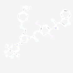 O=C(Nc1cc(Cl)c(CC(=O)N2C[C@@H](N3C[C@@H]4OCO[C@@H]4C3)C[C@H]2CO[C@H]2CC[C@H](C(=O)O)CC2)cc1Cl)c1coc2ccccc12